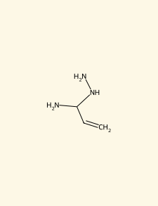 C=CC(N)NN